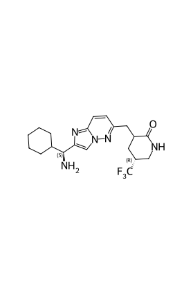 N[C@H](c1cn2nc(CC3C[C@@H](C(F)(F)F)CNC3=O)ccc2n1)C1CCCCC1